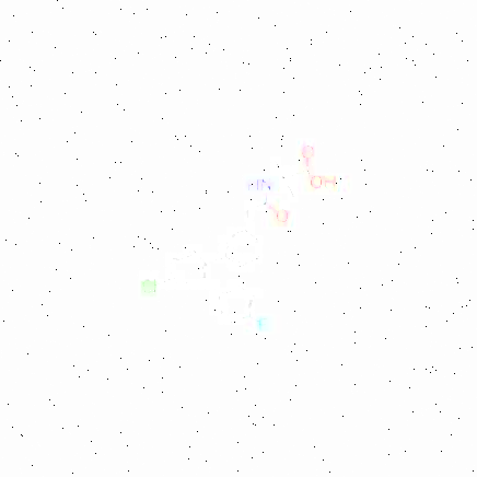 CC(C)(NC(=O)Cc1cccc(-c2ccc(Cl)cc2-c2ccc(F)cc2)c1)C(=O)O